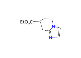 CCOC(=O)C1CCn2ccnc2C1